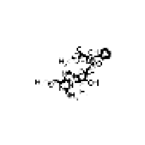 COCc1nc(N)nc2c1ncn2[C@@H]1O[C@](F)(CO[P@](=O)(NC(C)C(=O)OC(C)C)Oc2ccccc2)[C@@H](O)[C@@]1(C)F